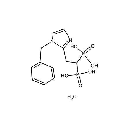 O.O=P(O)(O)C(Cc1nccn1Cc1ccccc1)P(=O)(O)O